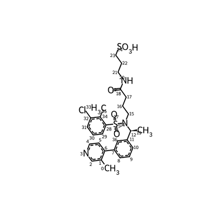 Cc1cnccc1-c1cccc([C@H](C)N(CCCC(=O)NCCCS(=O)(=O)O)S(=O)(=O)c2cccc(Cl)c2C)c1